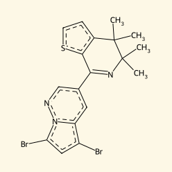 CC1(C)N=C(c2cnn3c(Br)cc(Br)c3c2)c2sccc2C1(C)C